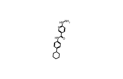 NNc1ccc(C(=O)Nc2ccc(C3CCCCC3)cc2)cn1